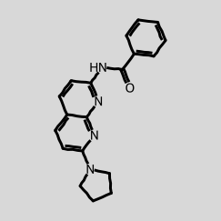 O=C(Nc1ccc2ccc(N3CCCC3)nc2n1)c1ccccc1